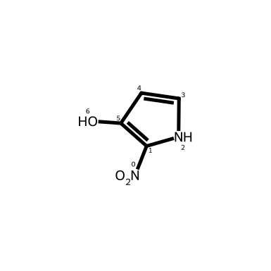 O=[N+]([O-])c1[nH]ccc1O